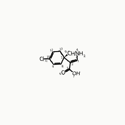 C[C@@]1(/C(=C\N)C(=O)O)C=CC(Cl)=CC1